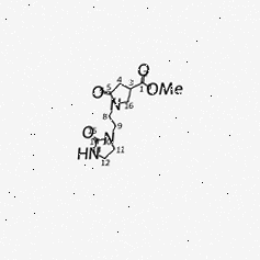 COC(=O)C1CC(=O)N(CCN2CCNC2=O)C1